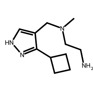 CN(CCN)Cc1c[nH]nc1C1CCC1